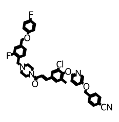 Cc1cc(C=CC(=O)N2CCN(Cc3ccc(COc4ccc(F)cc4)cc3F)CC2)cc(Cl)c1Oc1ccc(OCc2ccc(C#N)cc2)cn1